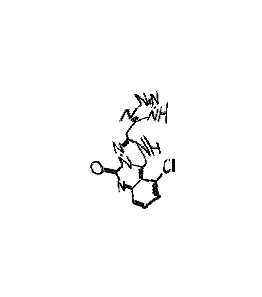 O=c1nc2cccc(Cl)c2c2[nH]c(-c3nnn[nH]3)nn12